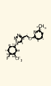 Cc1cccc(OCc2cn(-c3ccc(F)c(C(F)(F)F)c3)nn2)n1